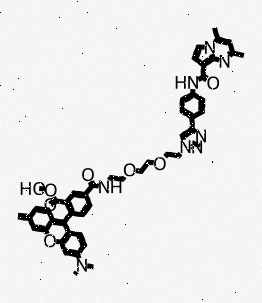 C=c1ccc2c(c1)Oc1cc(N(C)C)ccc1C=2c1ccc(C(=O)NCCOCCOCCn2cc(-c3ccc(NC(=O)c4ccn5c(C)cc(C)nc45)cc3)nn2)cc1C(=O)OO